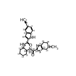 C#Cc1ccc2[nH]c(C(=O)N[C@@H]3CCCC[C@@H]3NC(=O)c3nc4c(s3)CN(C)CC4)cc2c1